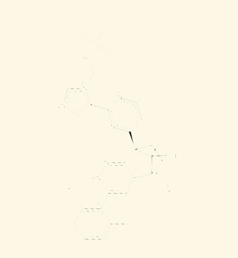 CC1(C)[C@H]2CC[C@@]1(c1ccnc(-c3cncn3CCS(C)(=O)=O)n1)c1nnc(-c3c(F)cccc3F)cc12